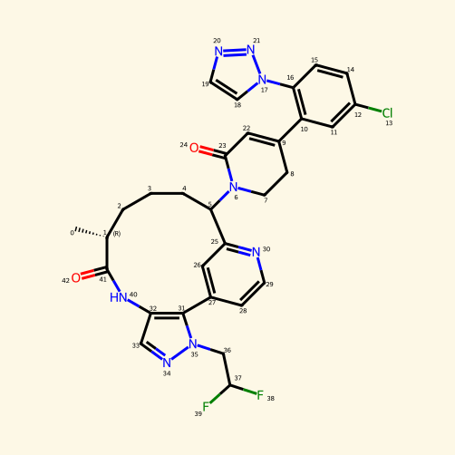 C[C@@H]1CCCC(N2CCC(c3cc(Cl)ccc3-n3ccnn3)=CC2=O)c2cc(ccn2)-c2c(cnn2CC(F)F)NC1=O